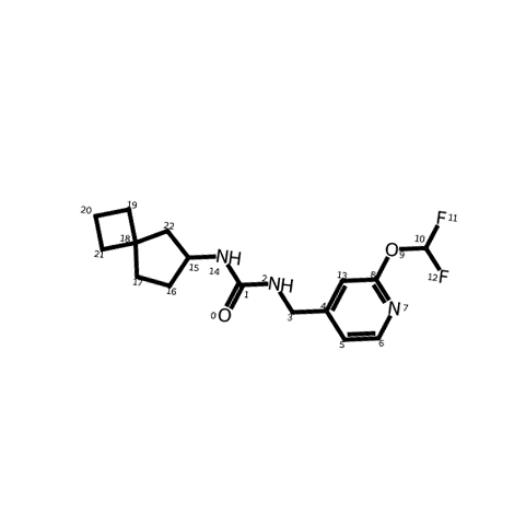 O=C(NCc1ccnc(OC(F)F)c1)NC1CCC2(CCC2)C1